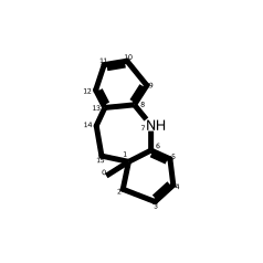 CC12CC=CC=C1Nc1ccccc1CC2